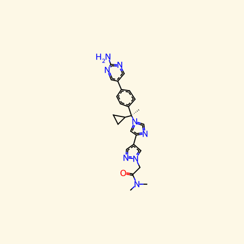 CN(C)C(=O)Cn1cc(-c2cn([C@](C)(c3ccc(-c4cnc(N)nc4)cc3)C3CC3)cn2)cn1